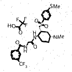 CN[C@@H]1CC[C@H](NC(=O)CNC(=O)c2cccc(C(F)(F)F)c2)[C@H](CS(=O)(=O)c2ccc(SC)cc2)C1.O=C(O)C(F)(F)F